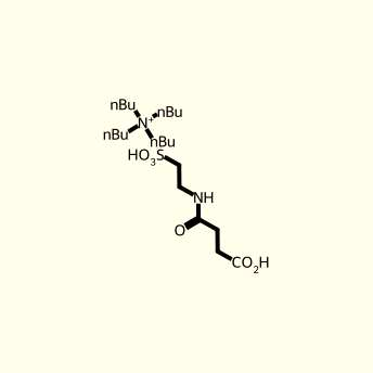 CCCC[N+](CCCC)(CCCC)CCCC.O=C(O)CCC(=O)NCCS(=O)(=O)O